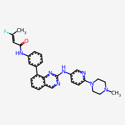 C/C(F)=C\C(=O)Nc1cccc(-c2cccc3cnc(Nc4ccc(N5CCN(C)CC5)nc4)nc23)c1